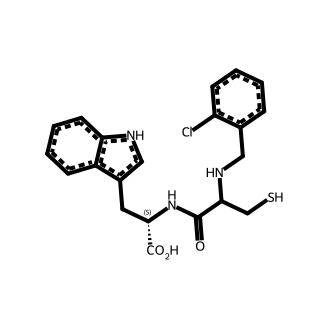 O=C(N[C@@H](Cc1c[nH]c2ccccc12)C(=O)O)C(CS)NCc1ccccc1Cl